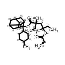 C=CC(=O)OC(C)(CC)CC(C)(CC)C(=O)OC1(C2CCC(C)CC2)C2CC3CC(C2)CC1C3